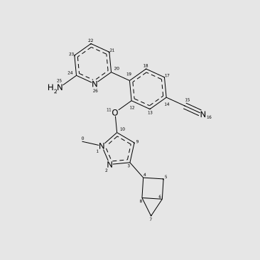 Cn1nc(C2CC3CC32)cc1Oc1cc(C#N)ccc1-c1cccc(N)n1